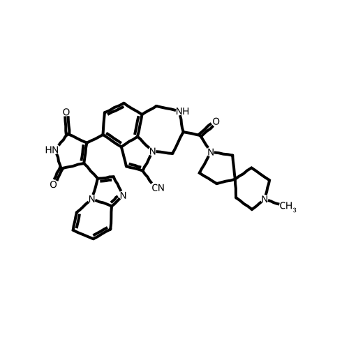 CN1CCC2(CC1)CCN(C(=O)C1Cn3c(C#N)cc4c(C5=C(c6cnc7ccccn67)C(=O)NC5=O)ccc(c43)CN1)C2